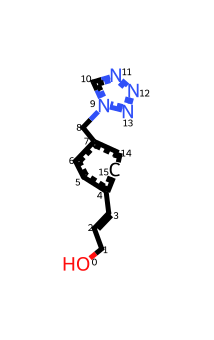 OC/C=C/c1ccc(Cn2cnnn2)cc1